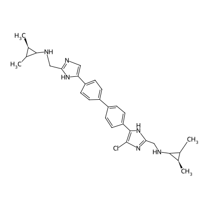 CC1C(NCc2ncc(-c3ccc(-c4ccc(-c5[nH]c(CNC6C(C)[C@H]6C)nc5Cl)cc4)cc3)[nH]2)[C@@H]1C